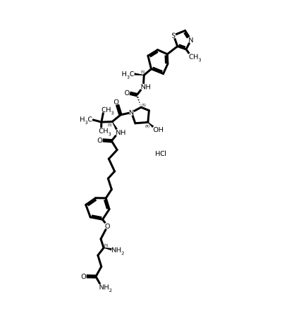 Cc1ncsc1-c1ccc([C@H](C)NC(=O)[C@@H]2C[C@@H](O)CN2C(=O)[C@@H](NC(=O)CCCCCc2cccc(OC[C@@H](N)CCC(N)=O)c2)C(C)(C)C)cc1.Cl